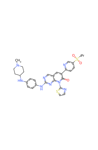 CC(C)S(=O)(=O)c1ccc(-c2cc3cnc(Nc4ccc(NC5CCN(C)CC5)cc4)nc3n(-c3nccs3)c2=O)nc1